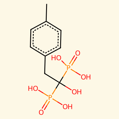 Cc1ccc(CC(O)(P(=O)(O)O)P(=O)(O)O)cc1